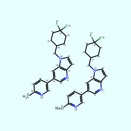 COc1ccc(-c2cnc3ccn(CC4CCC(F)(F)CC4)c3c2)cn1.Cc1ccc(-c2cnc3ccn(CC4CCC(F)(F)CC4)c3c2)cn1